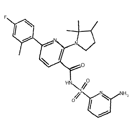 Cc1cc(F)ccc1-c1ccc(C(=O)NS(=O)(=O)c2cccc(N)n2)c(N2CCC(C)C2(C)C)n1